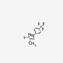 Cc1cn(-c2ccc(C(F)(F)F)cc2)nc1I